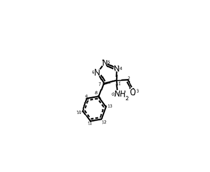 NC1(C=O)N=NN=C1c1ccccc1